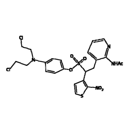 CC(=O)Nc1ncccc1CC(c1ccsc1[N+](=O)[O-])S(=O)(=O)Oc1ccc(N(CCCl)CCCl)cc1